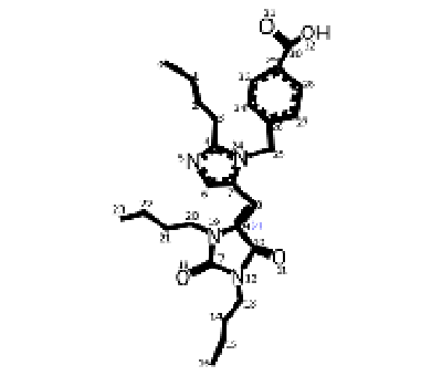 CCCCc1ncc(/C=C2/C(=O)N(CCCC)C(=O)N2CCCC)n1Cc1ccc(C(=O)O)cc1